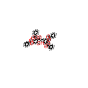 O=C(Oc1cc(O)c(C(=O)C=Cc2ccc(OC(=O)c3ccccc3)c(OC(=O)c3ccccc3)c2)c(OC(=O)c2ccccc2)c1)c1ccccc1